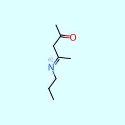 CCC/N=C(\C)CC(C)=O